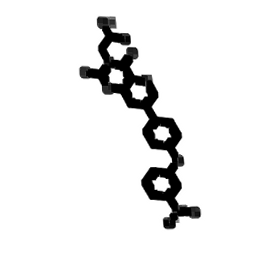 O=C(O)Cn1c(=O)oc2cc(-c3ccc(Oc4cccc([N+](=O)[O-])c4)cc3)cnc2c1=O